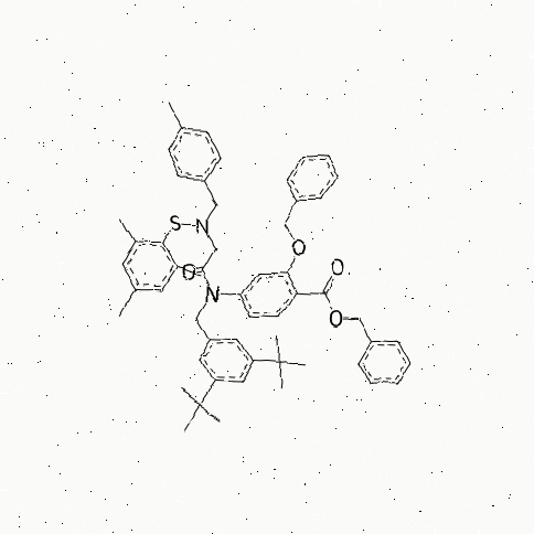 Cc1ccc(CN(CC(=O)N(Cc2cc(C(C)(C)C)cc(C(C)(C)C)c2)c2ccc(C(=O)OCc3ccccc3)c(OCc3ccccc3)c2)Sc2c(C)cc(C)cc2C)cc1